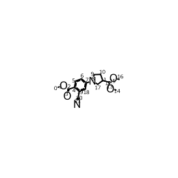 COC(=O)c1ccc(N2CCC(C(OC)OC)C2)cc1C#N